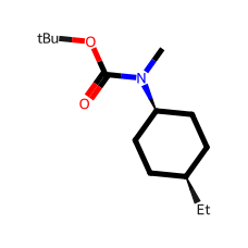 CC[C@H]1CC[C@@H](N(C)C(=O)OC(C)(C)C)CC1